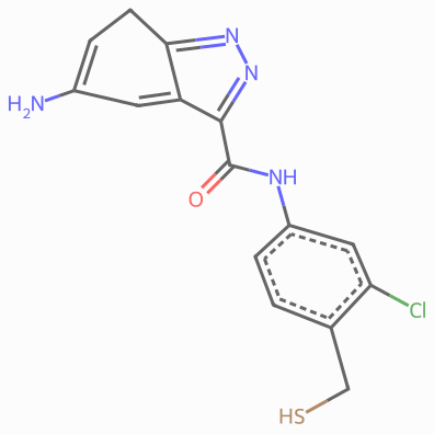 NC1=CCC2=NN=C(C(=O)Nc3ccc(CS)c(Cl)c3)C2=C1